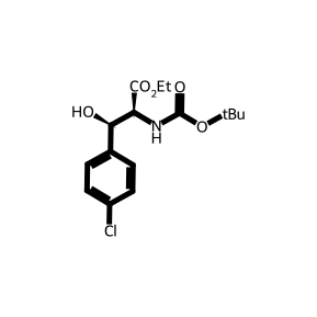 CCOC(=O)[C@@H](NC(=O)OC(C)(C)C)[C@H](O)c1ccc(Cl)cc1